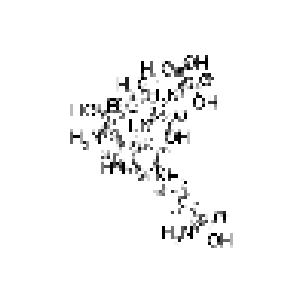 CC(C)C[C@H](N)C(=O)O.C[C@@H](O)[C@H](N)C(=O)O.NCCCC[C@H](N)C(=O)O.N[C@@H](Cc1c[nH]c2ccccc12)C(=O)O